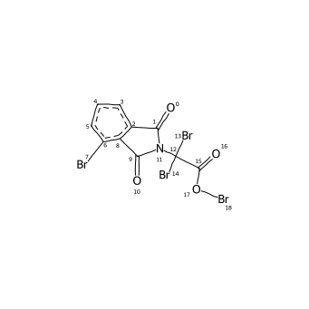 O=C1c2cccc(Br)c2C(=O)N1C(Br)(Br)C(=O)OBr